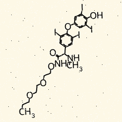 CCCOCCOCCONC(=O)C(NC)c1cc(I)c(Oc2cc(I)c(O)c(I)c2)c(I)c1